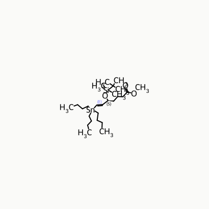 CCC[CH2][Sn](/[CH]=C/[C@H](CCCC(=O)OC)O[Si](C)(C)C(C)(C)C)([CH2]CCC)[CH2]CCC